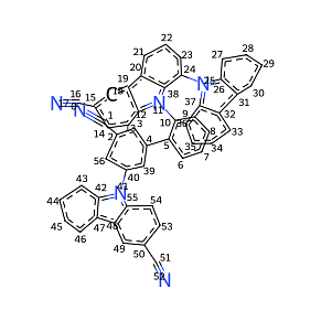 N#Cc1cc(-c2ccccc2-n2c3ccc(C#N)cc3c3cccc(-n4c5ccccc5c5ccccc54)c32)cc(-n2c3ccccc3c3cc(C#N)ccc32)c1